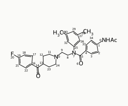 CC(=O)Nc1ccc(C(=O)N(CCN2CCC(C(=O)c3ccc(F)cc3)CC2)c2cc(C)cc(C)c2)cc1